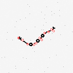 C=C(C)C(=O)OCCOCCOc1ccc(C(=O)Oc2ccc(OCOc3ccc(OCCCCOCC4(C)COC4)cc3)cc2)cc1